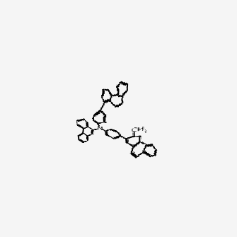 CC1Cc2c(ccc3ccccc23)C=C1c1ccc(N(c2ccc(-c3cccc4c3ccc3ccccc34)cc2)c2cc3ccccc3c3ccccc23)cc1